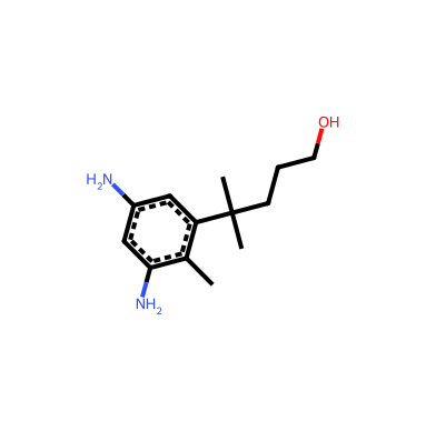 Cc1c(N)cc(N)cc1C(C)(C)CCCO